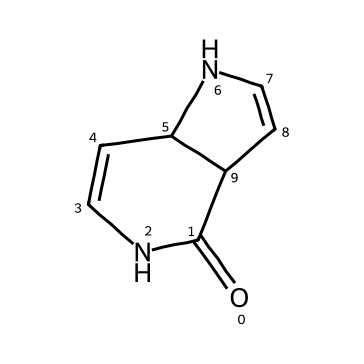 O=C1NC=CC2NC=CC12